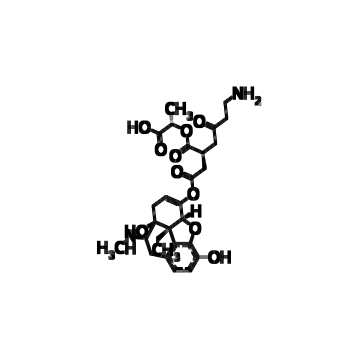 CC[C@]12c3c4ccc(O)c3O[C@H]1C(OC(=O)C[C@H](CC(=O)CCN)C(=O)O[C@@H](C)C(=O)O)=CC[C@@]2(O)[C@H](NC)C4